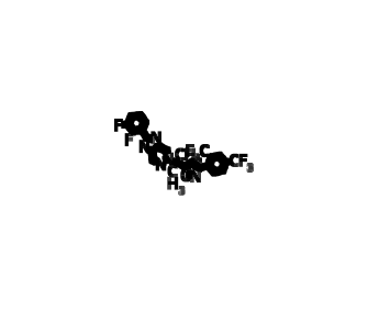 CC(C)(c1cc(-c2ccc(C(F)(F)F)cc2C(F)(F)F)no1)n1cc2nc(-c3cccc(F)c3F)nc-2cn1